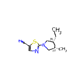 CC[C@H]1CN(c2ncc(C#N)s2)C[C@H]1C